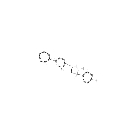 CC(C)(CNc1ccc(-c2ccccc2)nn1)c1ccc(F)cc1